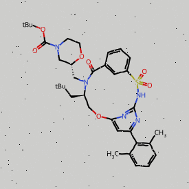 Cc1cccc(C)c1-c1cc2nc(n1)NS(=O)(=O)c1cccc(c1)C(=O)N(C[C@@H]1CN(C(=O)OC(C)(C)C)CCO1)[C@H](CC(C)(C)C)CO2